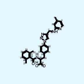 Cc1ccnc(NCc2cn(-c3ccc(CC(NC(=O)c4c(C)cccc4C)C(=O)O)cc3)nn2)c1